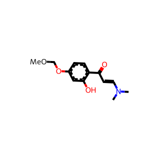 COCOc1ccc(C(=O)C=CN(C)C)c(O)c1